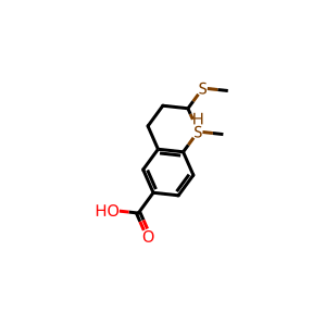 CSC1CCc2cc(C(=O)O)ccc2[SH]1C